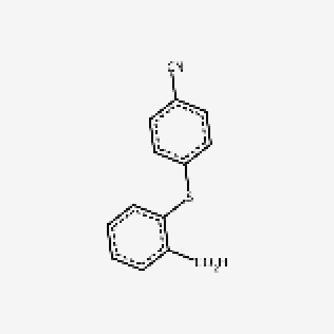 N#Cc1ccc(Sc2ccccc2C(=O)O)cc1